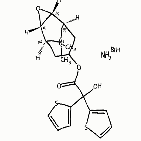 Br.C[N+]1(C)[C@@H]2CC(OC(=O)C(O)(c3cccs3)c3cccs3)C[C@H]1[C@@H]1O[C@@H]12.N